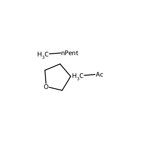 C1CCOC1.CC(C)=O.CCCCCC